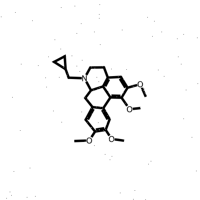 COc1cc2c(cc1OC)-c1c(OC)c(OC)cc3c1C(C2)N(CC1CC1)CC3